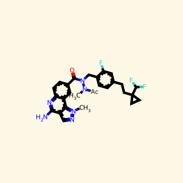 CC(=O)N(C)N(Cc1ccc(CCC2(C(F)F)CC2)cc1F)C(=O)c1ccc2nc(N)c3cnn(C)c3c2c1